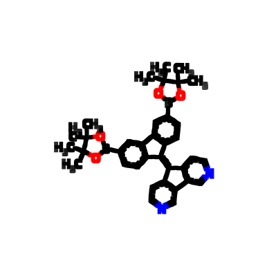 CC1(C)OB(c2ccc3c(c2)-c2cc(B4OC(C)(C)C(C)(C)O4)ccc2C3=C2c3ccncc3-c3cnccc32)OC1(C)C